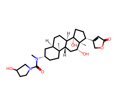 CN(C(=O)N1CCC(O)C1)[C@H]1CC[C@@]2(C)[C@H](CC[C@@H]3[C@@H]2C[C@@H](O)[C@]2(C)[C@@H](C4=CC(=O)OC4)CC[C@]32O)C1